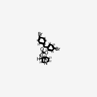 O=C(OC(c1ccc(Br)cc1)c1ccc(Br)cc1)O[C@H]1CN2CCC1CC2